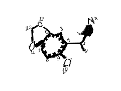 CC(C#N)c1cc2c(cc1Cl)OCO2